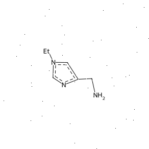 CCn1cnc(CN)c1